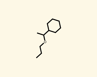 CCCOC(C)C1CCCCC1